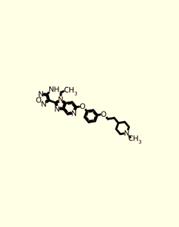 CCn1c(-c2nonc2N)nc2cnc(Oc3cccc(OCCC4CCN(C)CC4)c3)cc21